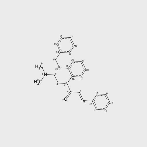 CN(C)CCN(C(=O)C=Cc1ccccc1)c1ccccc1SCc1ccccc1